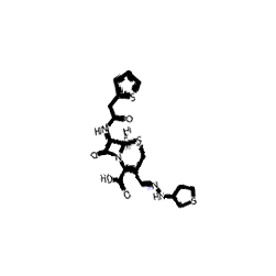 O=C(Cc1cccs1)NC1C(=O)N2C(C(=O)O)=C(/C=N/NC3CCSC3)CS[C@H]12